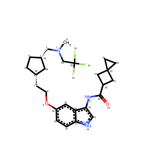 CN(C[C@H]1CC[C@@H](CCOc2ccc3[nH]cc(NC(=O)C4CC5(CC5)C4)c3c2)C1)CC(F)(F)F